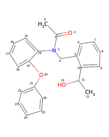 CC(=O)N(Cc1ccccc1C(C)O)c1ccccc1Oc1ccccc1